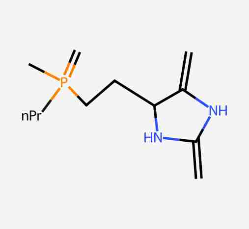 C=C1NC(=C)C(CCP(=C)(C)CCC)N1